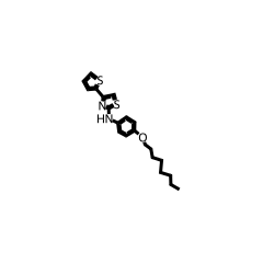 CCCCCCCCOc1ccc(Nc2nc(-c3cccs3)cs2)cc1